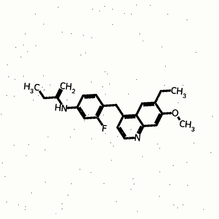 C=C(CC)Nc1ccc(Cc2ccnc3cc(OC)c(CC)cc23)c(F)c1